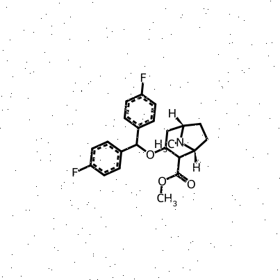 COC(=O)C1C(OC(c2ccc(F)cc2)c2ccc(F)cc2)C[C@@H]2CC[C@H]1N2C